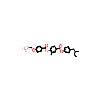 CCC(C)Cc1ccc(OC(=O)c2ccc(OC(=O)c3ccc(OCP)cc3)c(C)c2)cc1